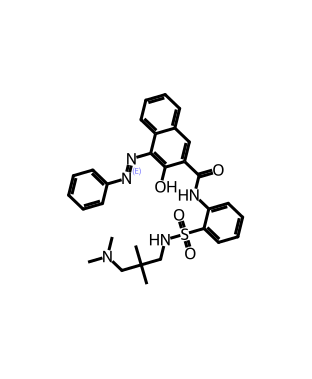 CN(C)CC(C)(C)CNS(=O)(=O)c1ccccc1NC(=O)c1cc2ccccc2c(/N=N/c2ccccc2)c1O